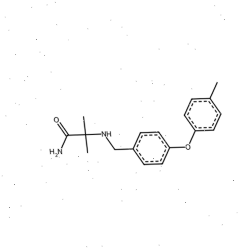 Cc1ccc(Oc2ccc(CNC(C)(C)C(N)=O)cc2)cc1